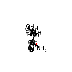 NCC12CC(C(=O)N[C@@H](Cc3ccc4ccccc4c3)C(=O)NCCCC[C@H](NC(=O)N[C@@H](CCC(=O)O)C(=O)O)C(=O)O)(C1)C2